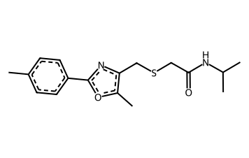 Cc1ccc(-c2nc(CSCC(=O)NC(C)C)c(C)o2)cc1